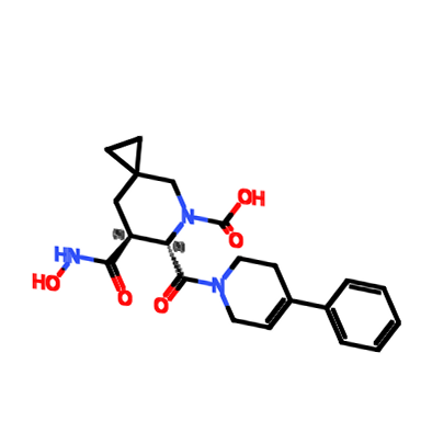 O=C(NO)[C@H]1CC2(CC2)CN(C(=O)O)[C@@H]1C(=O)N1CC=C(c2ccccc2)CC1